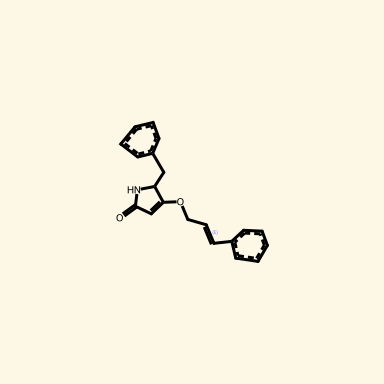 O=C1C=C(OC/C=C/c2ccccc2)C(Cc2ccccc2)N1